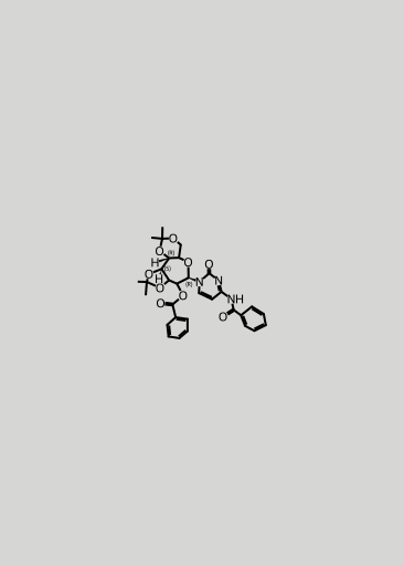 CC1(C)OCC2O[C@@H](n3ccc(NC(=O)c4ccccc4)nc3=O)C(OC(=O)c3ccccc3)C3OC(C)(C)O[C@H]3[C@@H]2O1